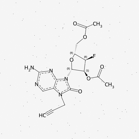 C#CCn1c(=O)n([C@@H]2O[C@H](COC(C)=O)[C@@H](F)[C@H]2OC(C)=O)c2nc(N)ncc21